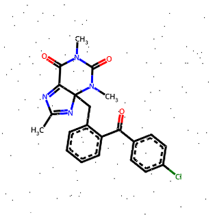 CC1=NC2(Cc3ccccc3C(=O)c3ccc(Cl)cc3)C(=N1)C(=O)N(C)C(=O)N2C